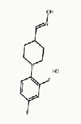 Cl.ON=CC1CCN(c2ccc(F)cc2F)CC1